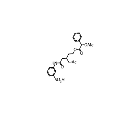 COC(C(=O)OCCC(CC(C)=O)CC(=O)Nc1cccc(S(=O)(=O)O)c1)c1ccccc1